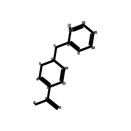 C=C(C)C1=CCC(Cc2ccccn2)C=C1